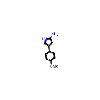 COc1ccc(-c2c[nH]c(N)c2)cc1